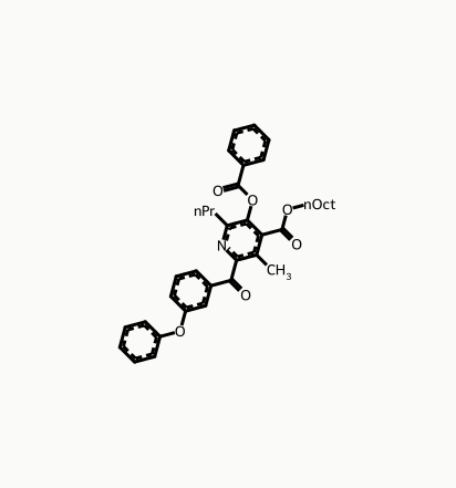 CCCCCCCCOC(=O)c1c(C)c(C(=O)c2cccc(Oc3ccccc3)c2)nc(CCC)c1OC(=O)c1ccccc1